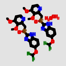 COc1ccnc(C[S@+]([O-])c2nc3cc(OC(F)F)ccc3[nH]2)c1OC.COc1ccnc(C[S@+]([O-])c2nc3cc(OC(F)F)ccc3[nH]2)c1OC.O.O